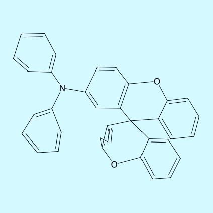 c1ccc(N(c2ccccc2)c2ccc3c(c2)C2(c4ccccc4Oc4ccccc42)c2ccccc2O3)cc1